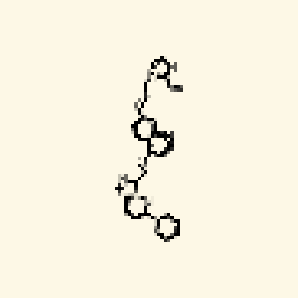 C=Cc1nccn1CCOc1ccc2c(OCc3nnc4ccc(-c5ccccc5)nn34)ccnc2c1